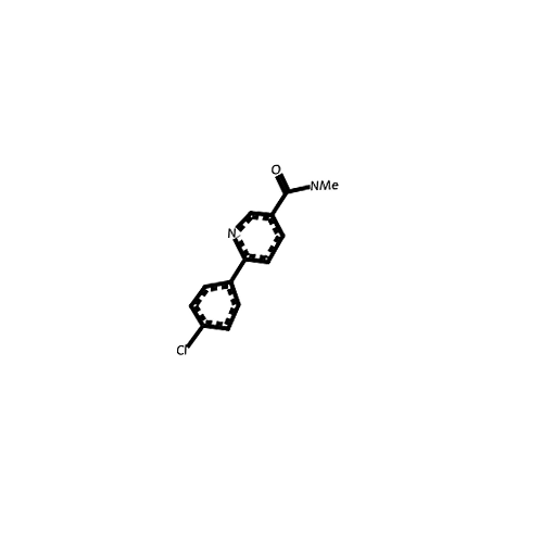 CNC(=O)c1ccc(-c2ccc(Cl)cc2)nc1